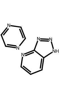 c1cnc2nn[nH]c2c1.c1cnccn1